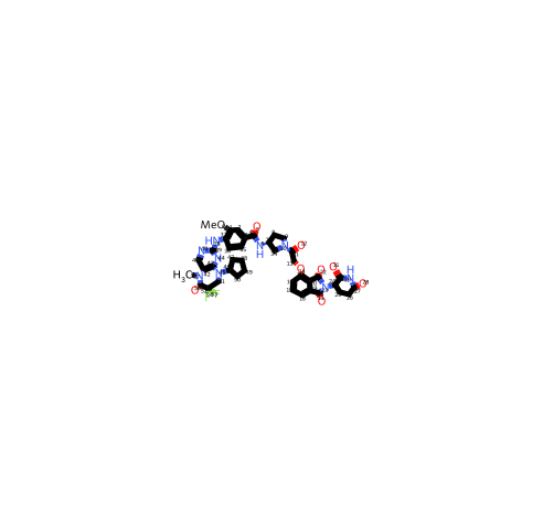 COc1cc(C(=O)N[C@H]2CCN(C(=O)COc3cccc4c3C(=O)N(C3CCC(=O)NC3=O)C4=O)C2)ccc1Nc1ncc2c(n1)N(C1CCCC1)CC(F)(F)C(=O)N2C